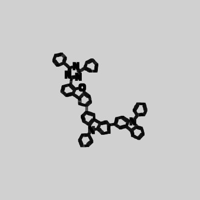 c1ccc(-c2nc(-c3ccccc3)nc(-c3cccc4c3oc3ccc(-c5ccc6c(c5)c5cc(-c7ccc8c(c7)c7ccccc7n8-c7ccccc7)ccc5n6-c5ccccc5)cc34)n2)cc1